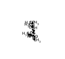 COC(=O)[C@H](CCCCNC(=O)OC(C)(C)C)NC(=O)[C@H](C)N